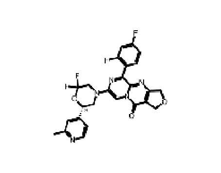 Cc1cc([C@H]2CN(c3cn4c(=O)c5c(nc4c(-c4ccc(F)cc4F)n3)COC5)CC(F)(F)O2)ccn1